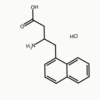 Cl.NC(CC(=O)O)Cc1cccc2ccccc12